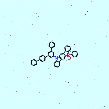 O=P1(c2ccccc2)c2ccccc2-c2cc3c(cc21)c1ccccc1n3-c1cc(-c2ccccc2)cc(-c2ccc(-c3ccccc3)cc2)c1